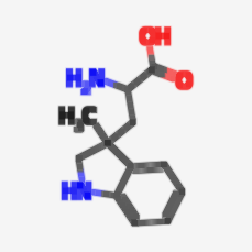 CC1(CC(N)C(=O)O)CNc2ccccc21